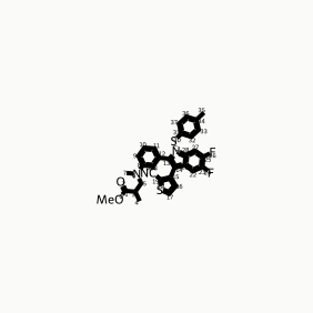 COC(=O)C(C)CN(C)c1cccc(-c2c(-c3ccsc3C#N)c3cc(F)c(F)cc3n2Sc2ccc(C)cc2)c1